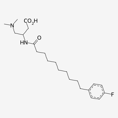 CN(C)CC(CC(=O)O)NC(=O)CCCCCCCCCc1ccc(F)cc1